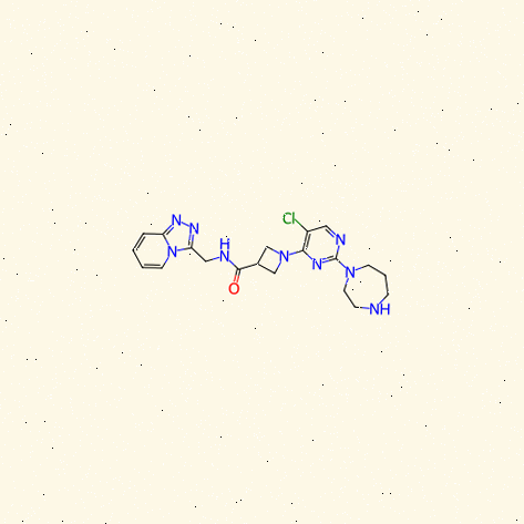 O=C(NCc1nnc2ccccn12)C1CN(c2nc(N3CCCNCC3)ncc2Cl)C1